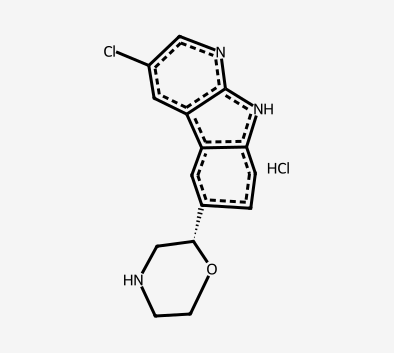 Cl.Clc1cnc2[nH]c3ccc([C@H]4CNCCO4)cc3c2c1